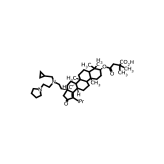 CC(C)C1=C2[C@H]3CCC4[C@@]5(C)CC[C@H](OC(=O)CC(C)(C)C(=O)O)C(C)(C)C5CC[C@@]4(C)[C@]3(C)CC[C@@]2(CCN(CCN2CCCC2)CC2CC2)CC1=O